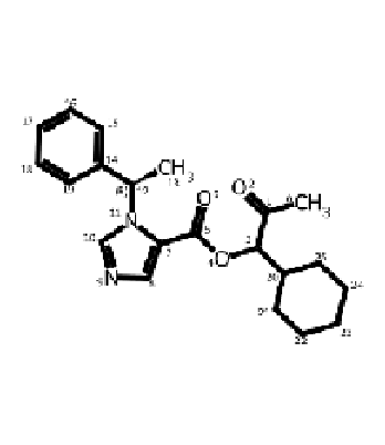 CC(=O)C(OC(=O)c1cncn1[C@H](C)c1ccccc1)C1CCCCC1